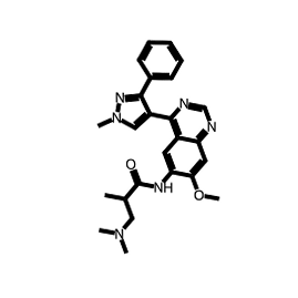 COc1cc2ncnc(-c3cn(C)nc3-c3ccccc3)c2cc1NC(=O)C(C)CN(C)C